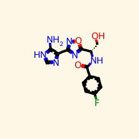 Nc1[nH]cnc1-c1noc([C@H](CO)NC(=O)c2ccc(F)cc2)n1